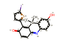 C[Si]1(C)C2=C(c3ccc(I)s3)C(=O)C=CC2=Nc2ccc(O)cc21